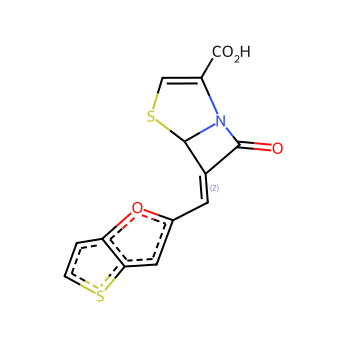 O=C(O)C1=CSC2/C(=C\c3cc4sccc4o3)C(=O)N12